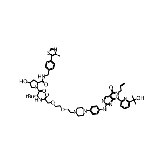 C=CCn1c(=O)c2cnc(Nc3ccc(N4CCN(CCOCCOCC(=O)N[C@H](C(=O)N5CC(O)CC5C(=O)NCc5ccc(-c6scnc6C)cc5)C(C)(C)C)CC4)cc3)nc2n1-c1cccc(C(C)(C)O)n1